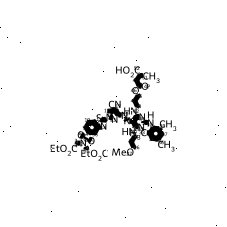 CCOC(=O)CN(CC(=O)OCC)S(=O)(=O)c1ccc2sc(-n3cc(C#N)c(N=Nc4c(NCCCOC)nc(Nc5c(C)cc(C)cc5C)nc4NCCCOC(=O)CC(C)C(=O)O)n3)nc2c1